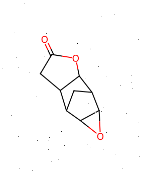 O=C1CC2C3CC(C2O1)C1OC31